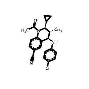 CC(=O)N1c2ccc(C#N)cc2[C@H](Nc2ccc(Cl)cc2)[C@@H](C)[C@@H]1C1CC1